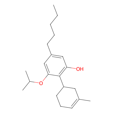 CCCCCc1cc(O)c(C2CCC=C(C)C2)c(OC(C)C)c1